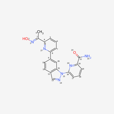 CC(=NO)c1cccc(-c2ccc3cnn(-c4cccc(C(N)=O)n4)c3c2)n1